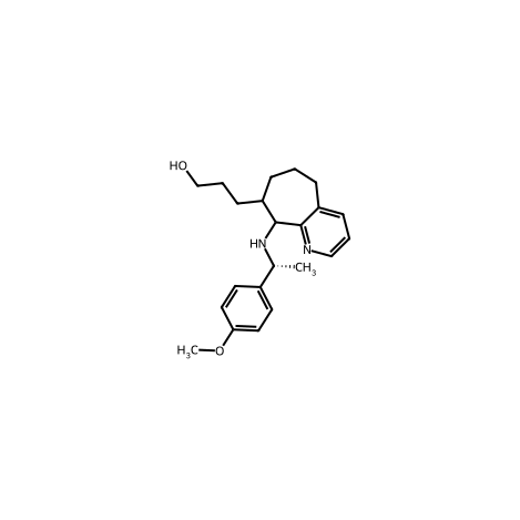 COc1ccc([C@@H](C)NC2c3ncccc3CCCC2CCCO)cc1